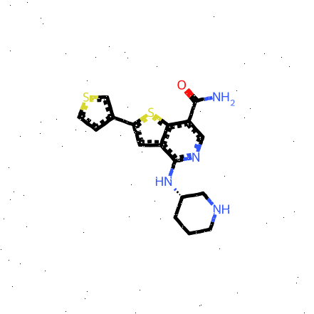 NC(=O)c1cnc(N[C@H]2CCCNC2)c2cc(-c3ccsc3)sc12